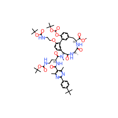 COC(=O)[C@@H]1Cc2ccc(OC(=O)OC(C)(C)C)c(c2)-c2cc(ccc2OCCNC(=O)OC(C)(C)C)[C@H](N(C)C(=O)[C@H](CCNC(=O)OC(C)(C)C)NC(=O)c2c(C)nc(-c3ccc(C(C)(C)C)cc3)nc2C)C(=O)N[C@@H](C)C(=O)N1